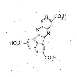 O=C(O)c1cc2c3c(cc(C(=O)O)cc3c1)-c1nc3cc(C(=O)O)ncc3nc1-2